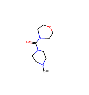 O=CN1CCN(C(=O)N2CCOCC2)CC1